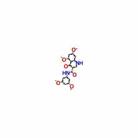 COc1cc(NC(=O)c2c[nH]c3cc(OC)cc(OC)c3c2=O)cc(OC)c1